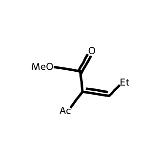 CCC=C(C(C)=O)C(=O)OC